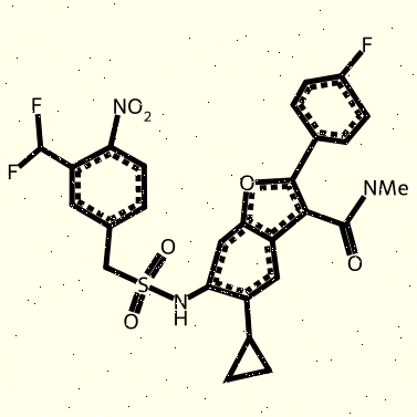 CNC(=O)c1c(-c2ccc(F)cc2)oc2cc(NS(=O)(=O)Cc3ccc([N+](=O)[O-])c(C(F)F)c3)c(C3CC3)cc12